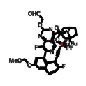 COCOc1cc(-c2ncc3c(N4CC5CCC(C(C)(C)C)(C4)N5C(=O)OC(C)(C)C)nc(OCC=O)nc3c2F)c2c(C#C[Si](C(C)C)(C(C)C)C(C)C)c(F)ccc2c1